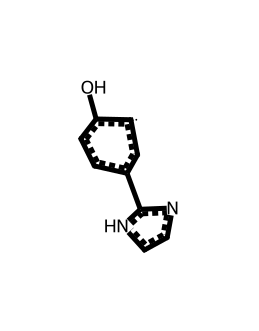 Oc1[c]cc(-c2ncc[nH]2)cc1